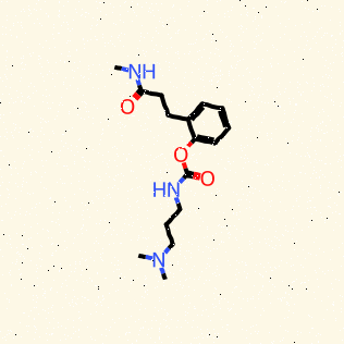 CNC(=O)CCc1ccccc1OC(=O)NCCCN(C)C